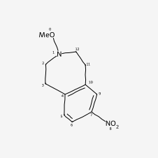 CON1CCc2ccc([N+](=O)[O-])cc2CC1